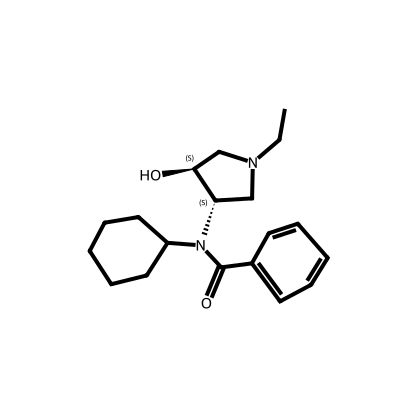 CCN1C[C@H](O)[C@@H](N(C(=O)c2ccccc2)C2CCCCC2)C1